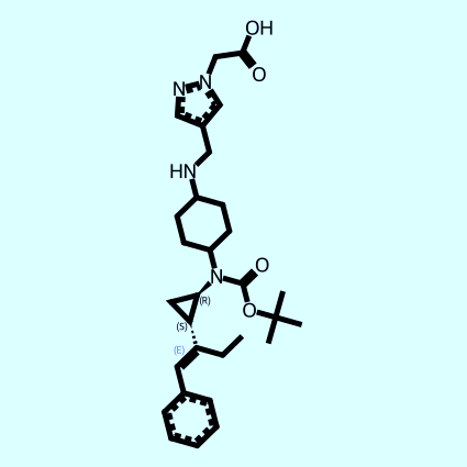 CC/C(=C\c1ccccc1)[C@@H]1C[C@H]1N(C(=O)OC(C)(C)C)C1CCC(NCc2cnn(CC(=O)O)c2)CC1